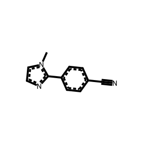 Cn1ccnc1-c1ccc(C#N)cc1